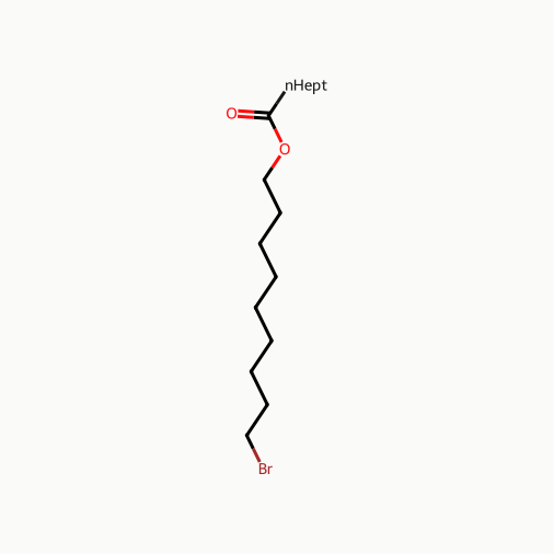 CCCCCCCC(=O)OCCCCCCCCCBr